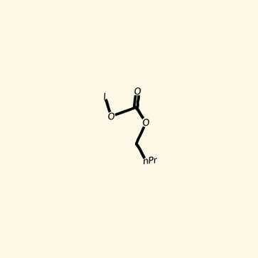 CCCCOC(=O)OI